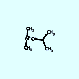 CC(C)[O-].[CH3][Al+][CH3]